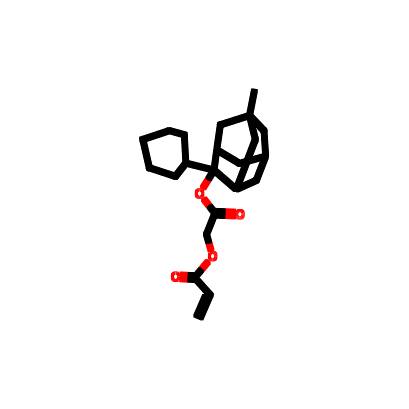 C=CC(=O)OCC(=O)OC1(C2CCCCC2)C2CC3CC1CC(C)(C3)C2